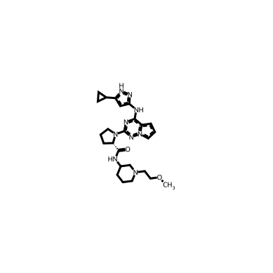 COCCN1CCCC(NC(=O)[C@@H]2CCCN2c2nc(Nc3cc(C4CC4)[nH]n3)c3cccn3n2)C1